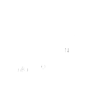 CCCCOc1ccc[c]n1